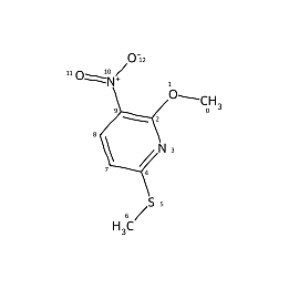 COc1nc(SC)ccc1[N+](=O)[O-]